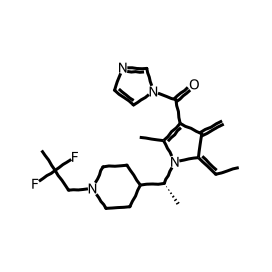 C=c1c(C(=O)n2ccnc2)c(C)n([C@H](C)C2CCN(CC(C)(F)F)CC2)/c1=C/C